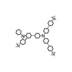 C[Si](C)(C)c1ccc(-c2ccc(N(c3ccc(-c4ccc([Si](C)(C)C)cc4)cc3)c3ccc(-c4ccc5c(c4)c4ccc([Si](C)(C)C)cc4n5-c4ccccc4)cc3)cc2)cc1